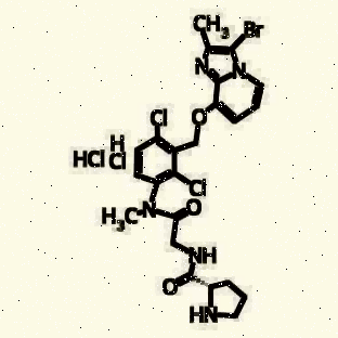 Cc1nc2c(OCc3c(Cl)ccc(N(C)C(=O)CNC(=O)[C@@H]4CCCN4)c3Cl)cccn2c1Br.Cl.Cl